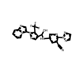 N#Cc1cc(NC(O)c2cnn(-c3cnc4ccccn34)c2C(F)(F)F)cnc1-n1nccn1